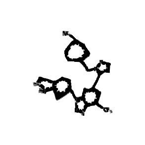 N#Cc1ccc(Cn2nccc2-c2cc(C(F)(F)F)c3nnn(-c4ccc5cn[nH]c5c4)c3c2)cc1